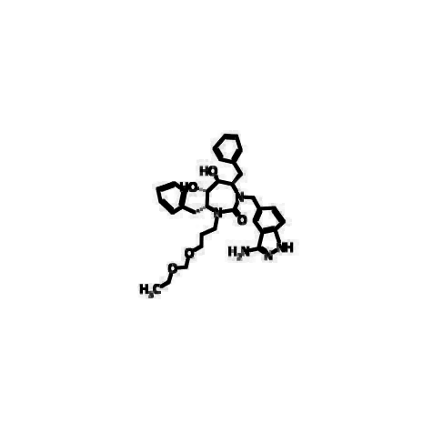 CCOCOCCCN1C(=O)N(Cc2ccc3[nH]nc(N)c3c2)[C@H](Cc2ccccc2)[C@H](O)[C@@H](O)[C@H]1Cc1ccccc1